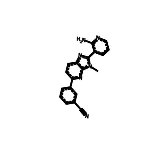 Cn1c(-c2cccnc2N)nc2ccc(-c3cccc(C#N)c3)nc21